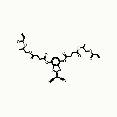 C=CC(=O)OCC(C)OC(=O)CCC(=O)Oc1ccc(OC(=O)CCC(=O)OCC(C)OC(=O)C=C)c2c1SC(=C(C#N)C#N)S2